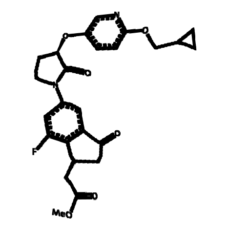 COC(=O)CC1CC(=O)c2cc(N3CC[C@@H](Oc4ccc(OCC5CC5)nc4)C3=O)cc(F)c21